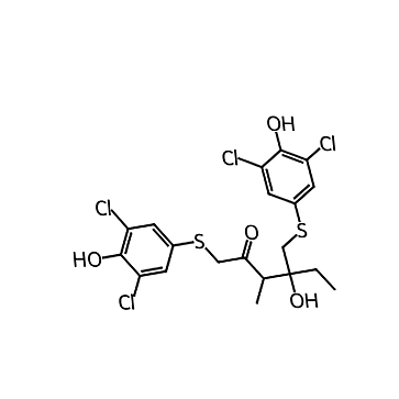 CCC(O)(CSc1cc(Cl)c(O)c(Cl)c1)C(C)C(=O)CSc1cc(Cl)c(O)c(Cl)c1